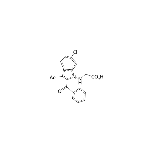 CC(=O)c1c(C(=O)c2ccccc2)n(NCC(=O)O)c2cc(Cl)ccc12